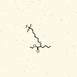 CCCCC(SCCCCCCC(F)(F)F)C(=O)OCC